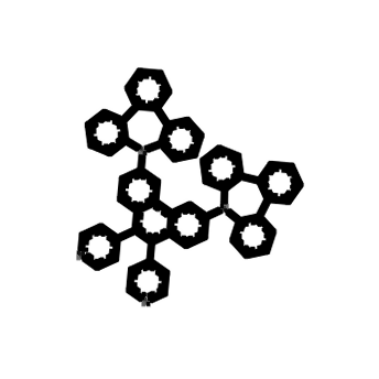 c1ccc2c(c1)-c1ccccc1N(c1ccc3c(-c4ccncc4)c(-c4ccncc4)c4ccc(N5c6ccccc6-c6ccccc6-c6ccccc65)cc4c3c1)c1ccccc1-2